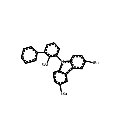 CC(C)(C)c1ccc2c(c1)c1cc(C(C)(C)C)ccc1n2-c1cccc(-c2ccccc2)c1C(C)(C)C